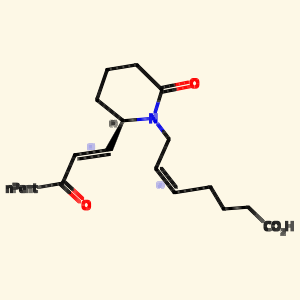 CCCCCC(=O)/C=C/[C@H]1CCCC(=O)N1C/C=C\CCCC(=O)O